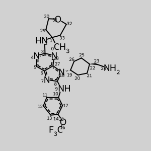 CC1(Nc2ncc3nc(Nc4cccc(OC(F)(F)F)c4)n([C@H]4CC[C@H](CN)CC4)c3n2)CCOCC1